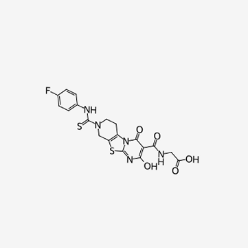 O=C(O)CNC(=O)c1c(O)nc2sc3c(n2c1=O)CCN(C(=S)Nc1ccc(F)cc1)C3